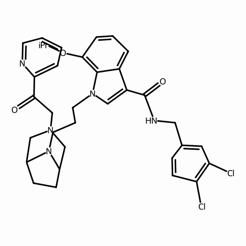 CC(C)Oc1cccc2c(C(=O)NCc3ccc(Cl)c(Cl)c3)cn(CCCN3C4CCC3CN(CC(=O)c3ccccn3)C4)c12